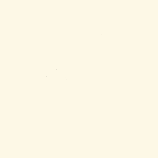 CCCCOC(=O)C1(C(O)CC2CCC(C)(C)C2(C)C)CC1